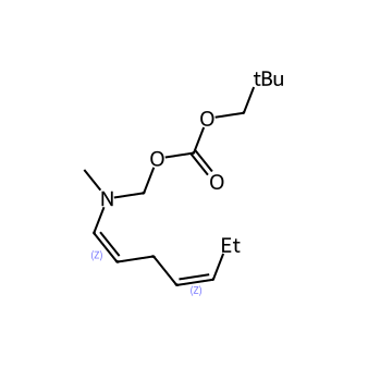 CC/C=C\C/C=C\N(C)COC(=O)OCC(C)(C)C